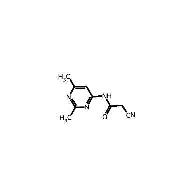 Cc1cc(NC(=O)CC#N)nc(C)n1